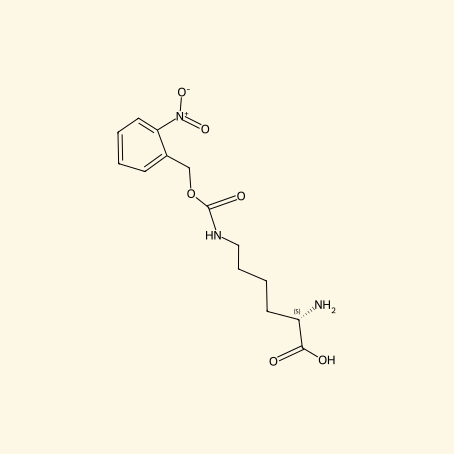 N[C@@H](CCCCNC(=O)OCc1ccccc1[N+](=O)[O-])C(=O)O